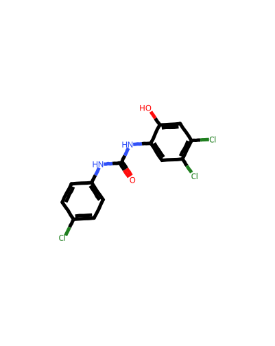 O=C(Nc1ccc(Cl)cc1)Nc1cc(Cl)c(Cl)cc1O